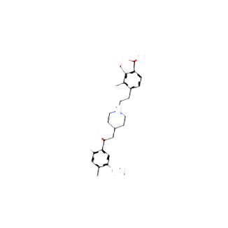 Cc1cc(F)c(C(=O)CC2CCN(CCc3ccc4c(c3C)COC4=O)CC2)cc1C#N